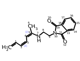 C=C/C=C\C=C(\C)NCCN1C(=O)c2ccccc2C1=O